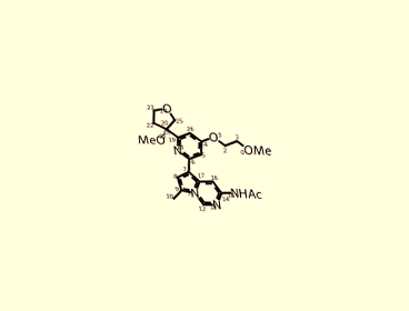 COCCOc1cc(-c2cc(C)n3cnc(NC(C)=O)cc23)nc([C@@]2(OC)CCOC2)c1